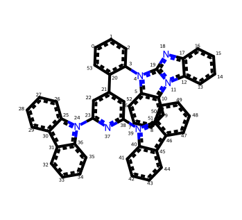 c1ccc(-n2c3ccccc3n3c4ccccc4nc23)c(-c2cc(-n3c4ccccc4c4ccccc43)nc(-n3c4ccccc4c4ccccc43)c2)c1